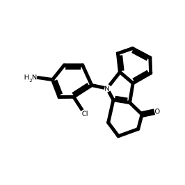 Nc1ccc(-n2c3c(c4ccccc42)C(=O)CCC3)c(Cl)c1